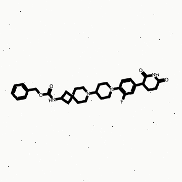 O=C1CCC(c2ccc(N3CCC(N4CCC5(CC4)CC(NC(=O)OCc4ccccc4)C5)CC3)c(F)c2)C(=O)N1